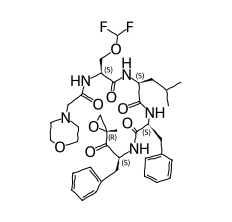 CC(C)C[C@H](NC(=O)[C@H](COC(F)F)NC(=O)CN1CCOCC1)C(=O)N[C@@H](Cc1ccccc1)C(=O)N[C@@H](Cc1ccccc1)C(=O)[C@@]1(C)CO1